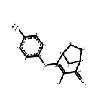 CC1=C(Sc2ccc(C(F)(F)F)cc2)C2CCC(C2)C1=O